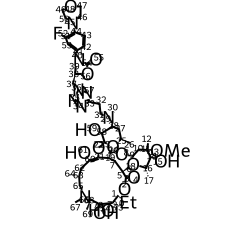 CC[C@H]1OC(=O)[C@H](C)[C@@H](O[C@H]2C[C@@](C)(OC)[C@@H](O)[C@H](C)O2)[C@H](C)/C(O[C@@H]2O[C@H](C)C[C@H](N(C)CCc3nnn(C[C@H]4CN(c5ccc(N6CCOCC6)c(F)c5)C(=O)O4)n3)[C@H]2O)=C(/O)C[C@@H](C)CN(C)[C@H](C)[C@@H](O)[C@]1(C)O